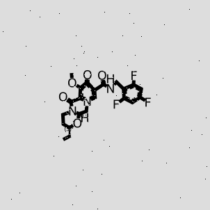 CC[C@H]1CCN2C(=O)c3c(OC)c(=O)c(C(=O)NCc4c(F)cc(F)cc4F)cn3C[C@H]2O1